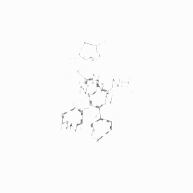 Nc1nc(-c2ccccc2)c(-c2ccnnc2)c2nc(C[C@H]3CCCO3)nn12